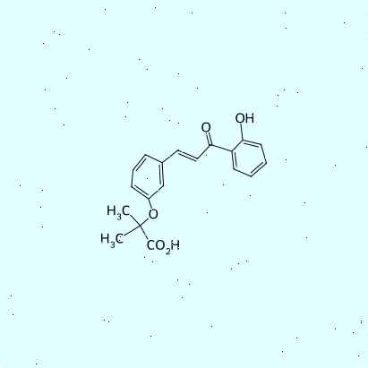 CC(C)(Oc1cccc(C=CC(=O)c2ccccc2O)c1)C(=O)O